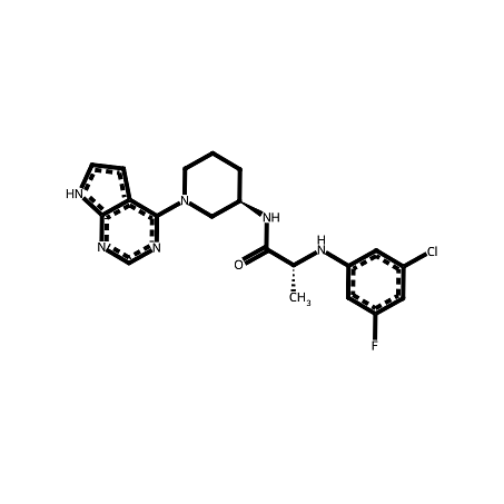 C[C@@H](Nc1cc(F)cc(Cl)c1)C(=O)N[C@@H]1CCCN(c2ncnc3[nH]ccc23)C1